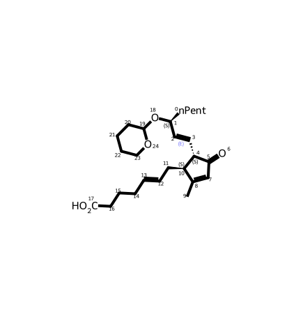 CCCCC[C@@H](/C=C/[C@@H]1C(=O)C=C(C)[C@H]1CC=CCCCC(=O)O)OC1CCCCO1